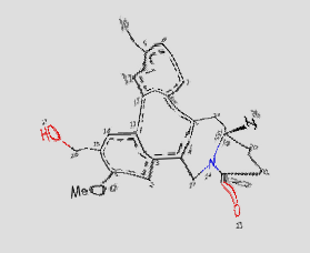 COc1cc2c3c(c4ccc(C)cc4c2cc1CO)C[C@@H]1CCC(=O)N1C3